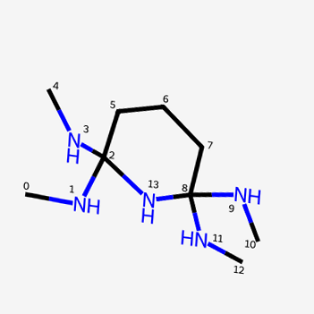 CNC1(NC)CCCC(NC)(NC)N1